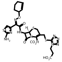 Nc1nc(/C(=N/OC2C=CCCC2)C(=O)NC2C(=O)N3C(C(=O)O)=C(CSc4nnnn4CCC(=O)O)CS[C@H]23)cs1